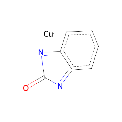 O=C1N=c2ccccc2=N1.[Cu]